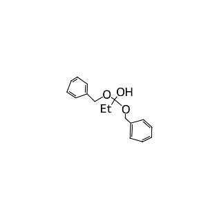 CCC(O)(OCc1ccccc1)OCc1ccccc1